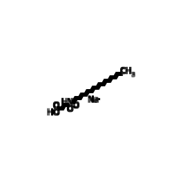 CCCCCCCCCCCCCCCCCC(=O)NC(=O)CCC(=O)O.[Na]